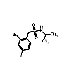 CC(C)NS(=O)(=O)Cc1ccc(F)cc1Br